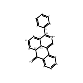 O=C1c2ccccc2C2=CN=C(c3ccccc3)C3=CC=CC1C32